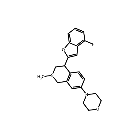 CN1Cc2cc(N3CCOCC3)ccc2C(c2cc3c(F)cccc3o2)C1